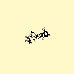 COc1cc(F)cc2[nH]c(C(=O)N[C@@H](CC3CC3)C(=O)N[C@H](C#N)C[C@@H]3CC(C)(C)NC3=O)cc12